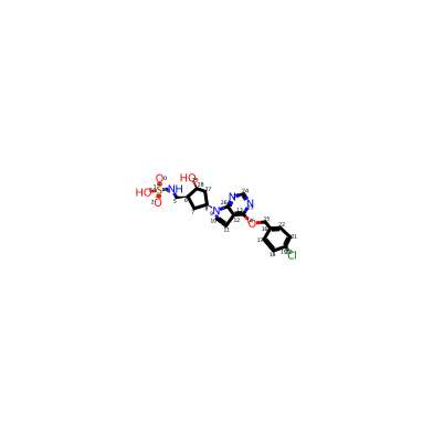 O=S(=O)(O)NC[C@@H]1C[C@@H](n2ccc3c(OCc4ccc(Cl)cc4)ncnc32)C[C@@H]1O